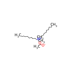 CC(=O)[O-].CCCCCCCCCC[N+](C)(C)CCCCCCCCCC